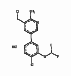 Cc1ncc(-c2ccc(Cl)c(OC(F)F)c2)cc1CCl.Cl